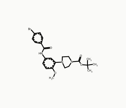 COc1ccc(NC(=O)c2ccc(Br)cc2)cc1N1CCN(C(=O)OC(C)(C)C)CC1